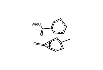 COC(=O)c1ccccc1.Cc1ccc2c(=O)c2c1